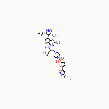 CCc1nc(NC(C)CN2CCN(S(=O)(=O)c3ccc(-c4cc(C)no4)s3)CC2)c2scc(-c3c(C)noc3C)c2n1